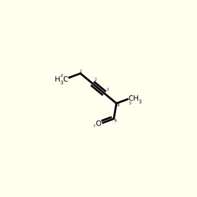 CCC#CC(C)C=O